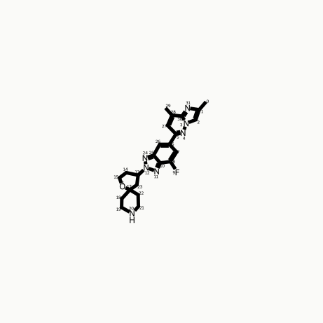 Cc1cn2nc(-c3cc(F)c4nn(C5CCOC6(CCNCC6)C5)nc4c3)cc(C)c2n1